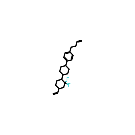 C=CCCc1ccc(C2CCC(C3CCC(C=C)CC3(F)F)CC2)cc1